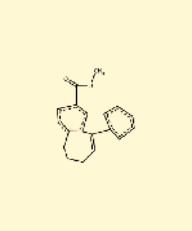 COC(=O)c1ccc2c(c1)C(c1ccccc1)=CCCC2